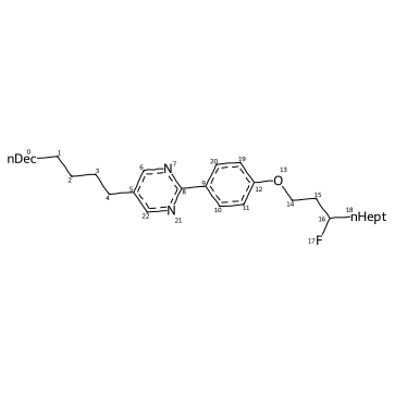 CCCCCCCCCCCCCCc1cnc(-c2ccc(OCCC(F)CCCCCCC)cc2)nc1